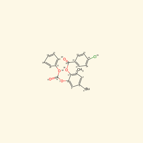 Cc1cc(C(C)(C)C)cc(OC(=O)Oc2ccccc2)c1OC(=O)c1ccc(Cl)cc1